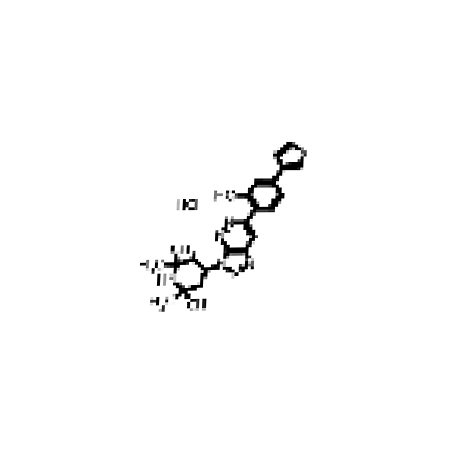 CC1(C)CC(n2nnc3cc(-c4ccc(-c5ccsc5)cc4O)nnc32)CC(C)(C)N1.Cl